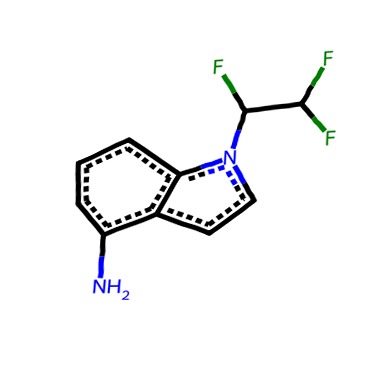 Nc1cccc2c1ccn2C(F)C(F)F